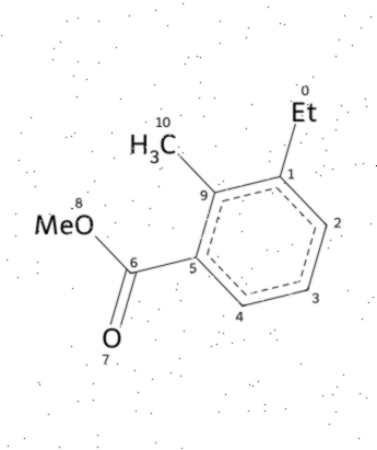 [CH2]Cc1cccc(C(=O)OC)c1C